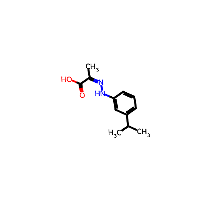 CC(=NNc1cccc(C(C)C)c1)C(=O)O